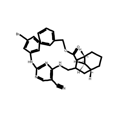 N#Cc1cnc(Nc2cccc(Br)c2)nc1NCC1C[C@H]2CCC[C@@H](C1)[C@@H]2NC(=O)OCc1ccccc1